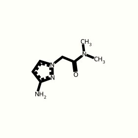 CN(C)C(=O)Cn1ccc(N)n1